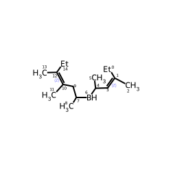 CC/C(C)=C\C(C)BC(C)C/C(C)=C(/C)CC